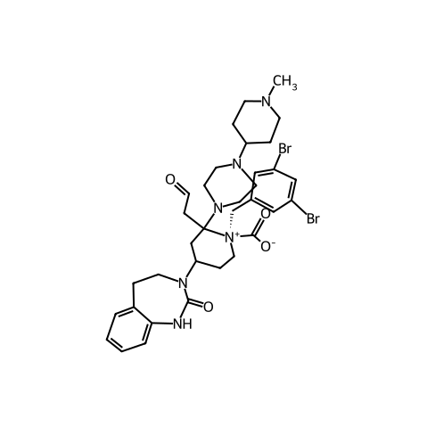 CN1CCC(N2CCN(C3(CC=O)CC(N4CCc5ccccc5NC4=O)CC[N@+]3(Cc3cc(Br)cc(Br)c3)C(=O)[O-])CC2)CC1